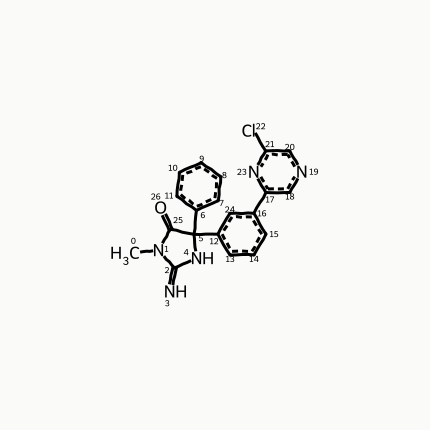 CN1C(=N)NC(c2ccccc2)(c2cccc(-c3cncc(Cl)n3)c2)C1=O